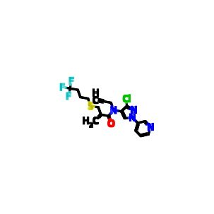 C#CCN(C(=O)C(=C)CSCCCC(F)(F)F)c1cn(-c2cccnc2)nc1Cl